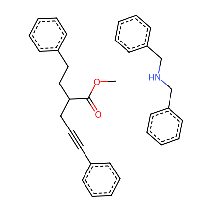 COC(=O)C(CC#Cc1ccccc1)CCc1ccccc1.c1ccc(CNCc2ccccc2)cc1